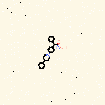 O=C(NO)C(c1ccccc1)c1ccc(N2CCC(c3ccccc3)CC2)cc1